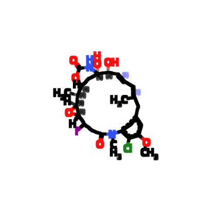 COc1cc2cc(c1Cl)N(C)C(=O)CC(I)[C@@H]1O[C@H]1[C@H](C)[C@@H]1C[C@@](O)(NC(=O)O1)[C@H](O)/C=C/C=C(\C)C2